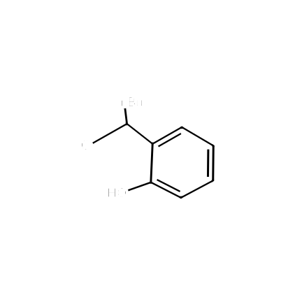 CCCCC(Cl)c1ccccc1O